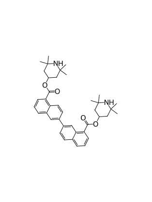 CC1(C)CC(OC(=O)c2cccc3cc(-c4ccc5cccc(C(=O)OC6CC(C)(C)NC(C)(C)C6)c5c4)ccc23)CC(C)(C)N1